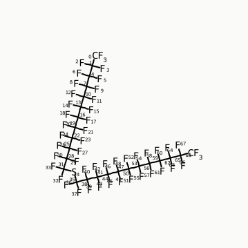 FC(F)(F)C(F)(F)C(F)(F)C(F)(F)C(F)(F)C(F)(F)C(F)(F)C(F)(F)C(F)(F)C(F)(F)C(F)(F)C(F)(F)SC(F)(F)C(F)(F)C(F)(F)C(F)(F)C(F)(F)C(F)(F)C(F)(F)C(F)(F)C(F)(F)C(F)(F)C(F)(F)C(F)(F)F